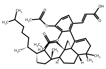 CC(=O)Oc1ccc(/C=C/C(=O)O)c(C2=CCC(C)(C)[C@@H]3CC[C@@H]4[C@]5(CC[C@]6(C)[C@@H]([C@H](C)CCCC(C)C)CC[C@@]46C)C[C@]235)c1OC(C)=O